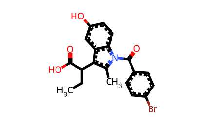 CCC(C(=O)O)c1c(C)n(C(=O)c2ccc(Br)cc2)c2ccc(O)cc12